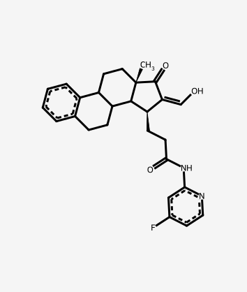 C[C@]12CCC3c4ccccc4CCC3C1[C@H](CCC(=O)Nc1cc(F)ccn1)/C(=C/O)C2=O